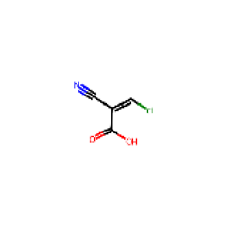 N#CC(=CCl)C(=O)O